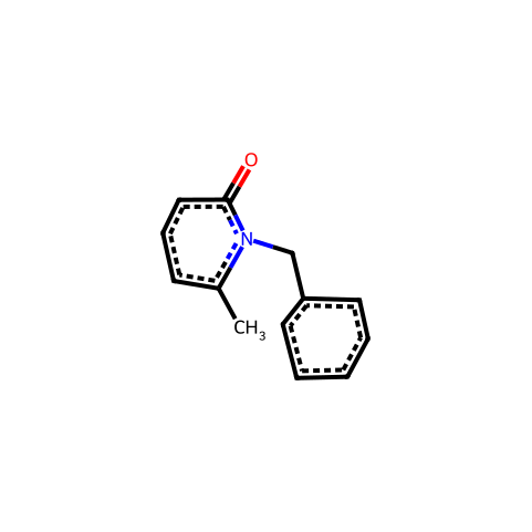 Cc1cccc(=O)n1Cc1ccccc1